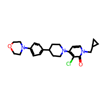 O=c1c(Cl)c(N2CCC(c3ccc(N4CCOCC4)cc3)CC2)ccn1CC1CC1